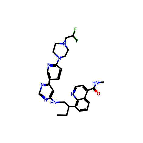 CCC(CNc1cc(-c2ccc(N3CCN(CC(F)F)CC3)nc2)ncn1)c1cccc2c(C(=O)NC)ccnc12